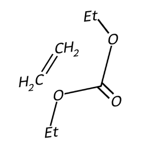 C=C.CCOC(=O)OCC